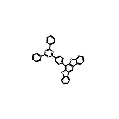 c1ccc(-c2nc(-c3ccccc3)nc(-c3ccc(-c4c5oc6ccccc6c5cc5c4oc4ccccc45)cc3)n2)cc1